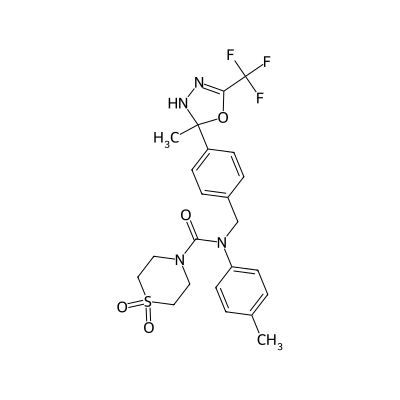 Cc1ccc(N(Cc2ccc(C3(C)NN=C(C(F)(F)F)O3)cc2)C(=O)N2CCS(=O)(=O)CC2)cc1